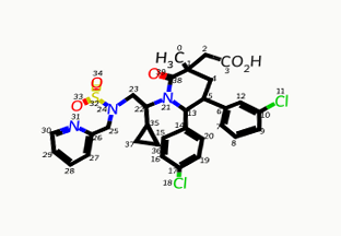 CC1(CC(=O)O)CC(c2cccc(Cl)c2)C(c2ccc(Cl)cc2)N(C(CN(Cc2ccccn2)[SH](=O)=O)C2CC2)C1=O